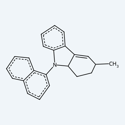 CC1C=C2c3ccccc3N(c3cccc4ccccc34)C2CC1